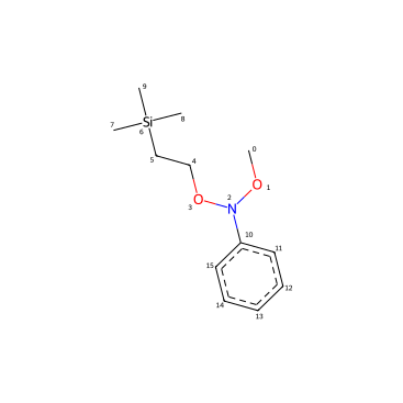 CON(OCC[Si](C)(C)C)c1ccccc1